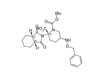 CC(C)(C)OC(=O)N1CC(NOCc2ccccc2)CC[C@]1(C(=O)O)N1C(=O)[C@H]2CCCC[C@H]2C1=O